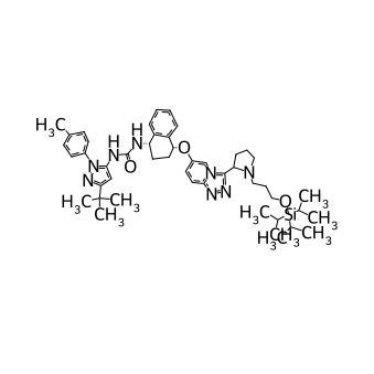 Cc1ccc(-n2nc(C(C)(C)C)cc2NC(=O)N[C@H]2CC[C@@H](Oc3ccc4nnc(C5CCCN5CCCO[Si](C(C)C)(C(C)C)C(C)C)n4c3)c3ccccc32)cc1